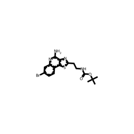 CC(C)(C)OC(=O)NCCc1nc2c(N)nc3cc(Br)ccc3c2s1